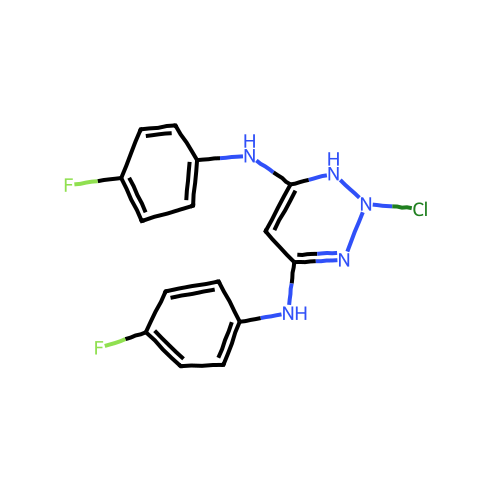 Fc1ccc(NC2=CC(Nc3ccc(F)cc3)=NN(Cl)N2)cc1